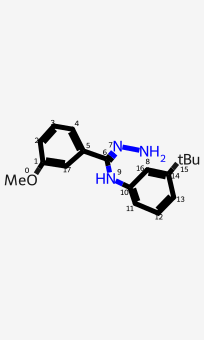 COc1cccc(/C(=N/N)Nc2cccc(C(C)(C)C)c2)c1